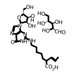 C/C=C/C(CCCCCNc1nc2c(ncn2[C@@H]2O[C@H](CO)[C@@H](O)[C@H]2O)c(=O)[nH]1)C(=O)O.O=C[C@H](O)[C@H](O)[C@H](O)CO